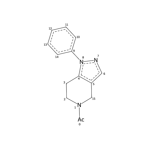 CC(=O)N1CCc2c(cnn2-c2ccccc2)C1